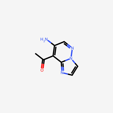 CC(=O)c1c(N)cnn2ccnc12